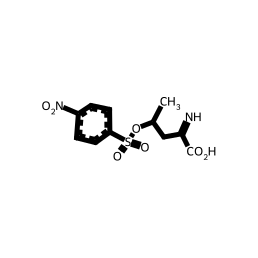 CC(CC(=N)C(=O)O)OS(=O)(=O)c1ccc([N+](=O)[O-])cc1